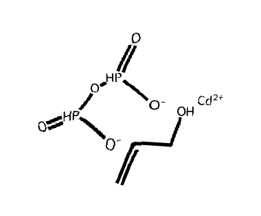 C=CCO.O=[PH]([O-])O[PH](=O)[O-].[Cd+2]